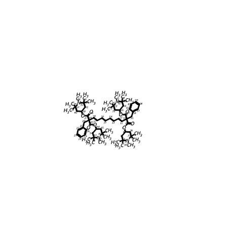 CN1C(C)(C)CC(OC(=O)C(CCCCCCCCC(Cc2ccccc2)(C(=O)OC2CC(C)(C)N(C)C(C)(C)C2)C(=O)OC2CC(C)(C)N(C)C(C)(C)C2)(Cc2ccccc2)C(=O)OC2CC(C)(C)N(C)C(C)(C)C2)CC1(C)C